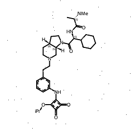 CN[C@@H](C)C(=O)N[C@H](C(=O)N1CC[C@H]2CCN(CCc3cccc(Nc4c(OC(C)C)c(=O)c4=O)c3)C[C@H]21)C1CCCCC1